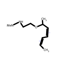 C/C=C\C=C/C(C)OCCNNC